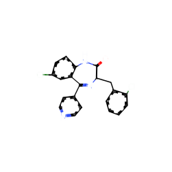 O=C1Nc2ccc(Cl)cc2C(c2ccncc2)=NC1Cc1ccccc1Cl